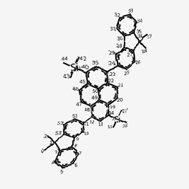 CC1(C)c2ccccc2-c2cc(-c3cc([Si](C)(C)C)c4ccc5c(-c6ccc7c(c6)-c6ccccc6C7(C)C)cc([Si](C)(C)C)c6ccc3c4c56)ccc21